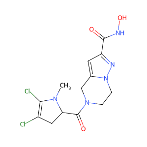 CN1C(Cl)=C(Cl)CC1C(=O)N1CCn2nc(C(=O)NO)cc2C1